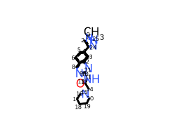 Cn1cc(-c2ccc3cnc(NC(=O)CN4CCCCC4)nc3c2)nn1